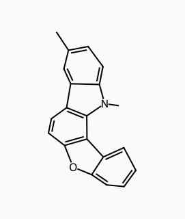 Cc1ccc2c(c1)c1ccc3oc4ccccc4c3c1n2C